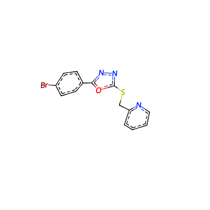 Brc1ccc(-c2nnc(SCc3ccccn3)o2)cc1